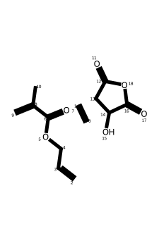 C=C.C=CCOC(=O)C(=C)C.O=C1CC(O)C(=O)O1